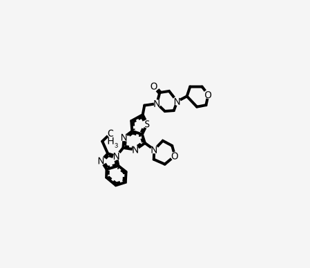 CCc1nc2ccccc2n1-c1nc(N2CCOCC2)c2sc(CN3CCN(C4CCOCC4)CC3=O)cc2n1